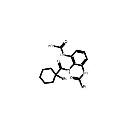 CCCC(=O)Nc1cccc(NC(=O)CCC)c1NC(=O)C1(C(C)(C)C)CCCCC1